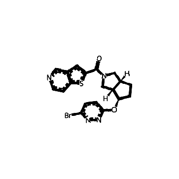 O=C(c1cc2cnccc2s1)N1C[C@@H]2CC[C@@H](Oc3ccc(Br)nn3)[C@@H]2C1